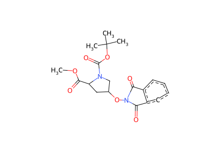 COC(=O)C1CC(ON2C(=O)c3ccccc3C2=O)CN1C(=O)OC(C)(C)C